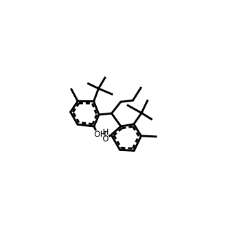 CCCC(c1c(O)ccc(C)c1C(C)(C)C)c1c(O)ccc(C)c1C(C)(C)C